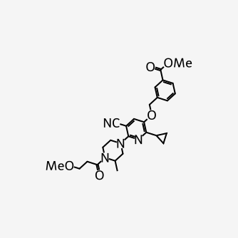 COCCC(=O)N1CCN(c2nc(C3CC3)c(OCc3cccc(C(=O)OC)c3)cc2C#N)CC1C